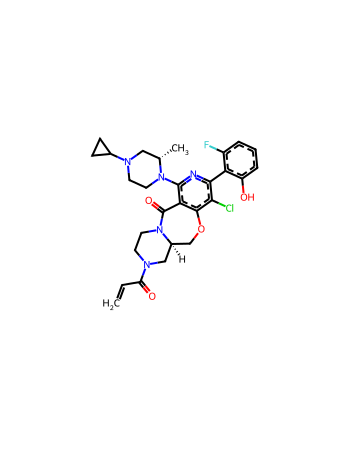 C=CC(=O)N1CCN2C(=O)c3c(N4CCN(C5CC5)C[C@@H]4C)nc(-c4c(O)cccc4F)c(Cl)c3OC[C@H]2C1